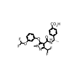 C[C@H](NC(=O)c1c(C(F)F)nn(C)c1Oc1cccc(OC(F)F)c1)c1ccc(C(=O)O)cc1